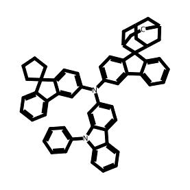 c1ccc(-n2c3ccccc3c3ccc(N(c4ccc5c(c4)-c4ccccc4C54CCCC4)c4ccc5c(c4)-c4ccccc4C54C5CCC6CC(C5)CC4C6)cc32)cc1